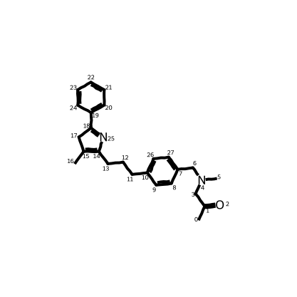 CC(=O)CN(C)Cc1ccc(CCCC2=C(C)CC(c3ccccc3)=N2)cc1